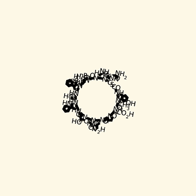 CCCC[C@H]1C(=O)N(C)[C@@H](CCCC)C(=O)N[C@@H](CCN)C(=O)N[C@H](C(=O)NCC(N)=O)CSCC(=O)N[C@@H](Cc2ccc(O)cc2)C(=O)N(C)[C@@H](C)C(=O)N[C@@H](CC(=O)O)C(=O)N2CCC[C@H]2C(=O)N[C@@H](Cc2cnc[nH]2)C(=O)N[C@@H](CCC(=O)O)C(=O)N2C[C@H](O)C[C@H]2C(=O)N[C@@H](Cc2c[nH]c3ccccc23)C(=O)N[C@@H](CO)C(=O)N[C@@H](Cc2c[nH]c3ccccc23)C(=O)N1C